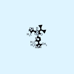 Cc1nc(NC(=O)[C@@H](NC(=O)c2nonc2C)C(C2CC2)C2CC2)ccc1-c1c(C)n[nH]c1C